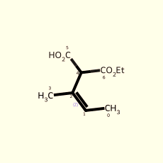 C/C=C(/C)C(C(=O)O)C(=O)OCC